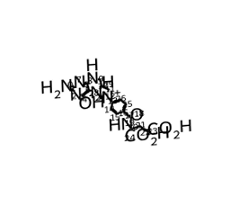 Nc1nc(O)c2c(n1)NC[C@@H]1C[N+](c3ccc(C(=O)NC(CCC(=O)O)C(=O)O)cc3)=CN21